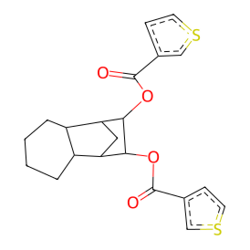 O=C(OC1C2CC(C3CCCCC32)C1OC(=O)c1ccsc1)c1ccsc1